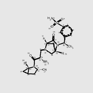 C[C@H](c1cccc(S(N)(=O)=O)c1)N1C(=O)[C@@H]2C[C@H]1CN2C[C@H](N)C(=O)N1[C@H](C#N)CC2C[C@@H]21